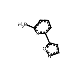 Bc1cccc(-c2ccno2)n1